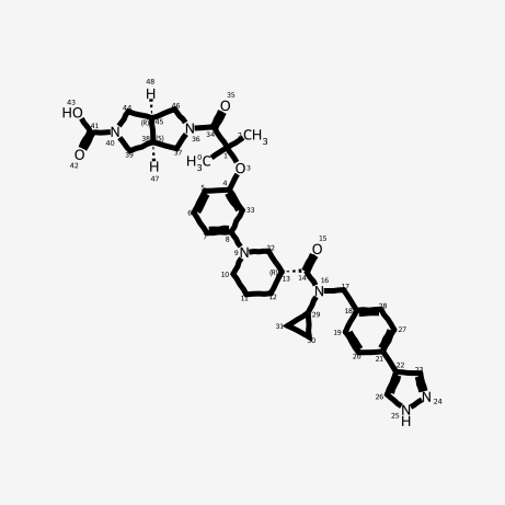 CC(C)(Oc1cccc(N2CCC[C@@H](C(=O)N(Cc3ccc(-c4cn[nH]c4)cc3)C3CC3)C2)c1)C(=O)N1C[C@H]2CN(C(=O)O)C[C@H]2C1